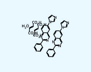 O.O=C(O)C=CC(=O)O.O=C(O)C=CC(=O)O.c1ccc(-c2ncc3cc(-n4ccnc4)ccc3n2)cc1.c1ccc(-c2ncc3cc(-n4ccnc4)ccc3n2)cc1